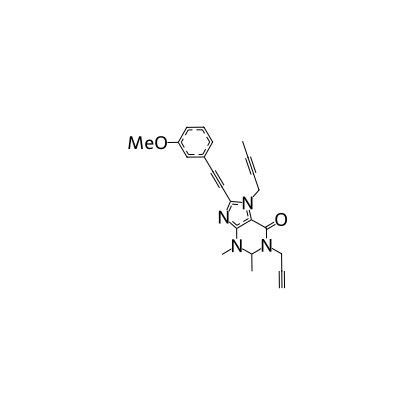 C#CCN1C(=O)c2c(nc(C#Cc3cccc(OC)c3)n2CC#CC)N(C)C1C